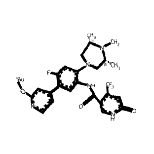 CCC(C)Oc1cc(-c2cc(NC(=O)c3c[nH]c(=O)cc3C(F)(F)F)c(N3C[C@@H](C)N(C)[C@@H](C)C3)cc2F)ccn1